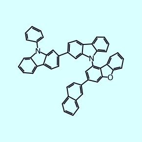 c1ccc(-n2c3ccccc3c3ccc(-c4ccc5c6ccccc6n(-c6cc(-c7ccc8ccccc8c7)cc7oc8ccccc8c67)c5c4)cc32)cc1